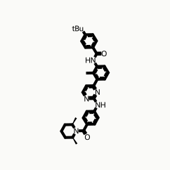 Cc1c(NC(=O)c2ccc(C(C)(C)C)cc2)cccc1-c1ccnc(Nc2ccc(C(=O)N3[C@H](C)CCC[C@@H]3C)cc2)n1